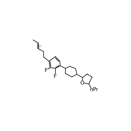 C/C=C/CCc1ccc(C2CCC(C3CCC(CCC)O3)CC2)c(F)c1F